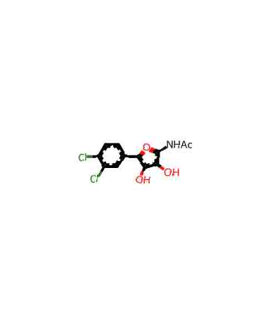 CC(=O)Nc1oc(-c2ccc(Cl)c(Cl)c2)c(O)c1O